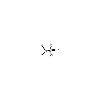 CN(C)P(=O)(Cl)Cl